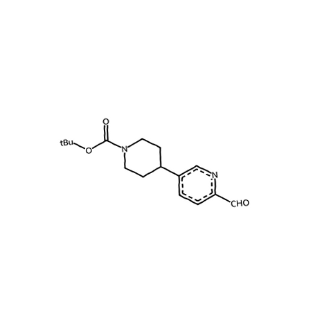 CC(C)(C)OC(=O)N1CCC(c2ccc(C=O)nc2)CC1